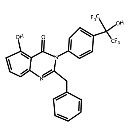 O=c1c2c(O)cccc2nc(Cc2ccccc2)n1-c1ccc(C(O)(C(F)(F)F)C(F)(F)F)cc1